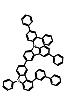 c1ccc(-c2cccc(-c3cccc4c3c3cc(-c5ccc6c(c5)c5cc(-c7ccccc7)ccc5n6-c5ccc(-c6ccccc6)cc5-c5ccccc5)ccc3n4-c3ccccc3)c2)cc1